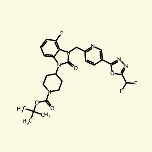 CC(C)(C)OC(=O)N1CCC(n2c(=O)n(Cc3ccc(-c4nnc(C(F)F)o4)cn3)c3c(F)cccc32)CC1